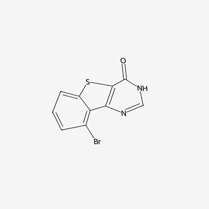 O=c1[nH]cnc2c1sc1cccc(Br)c12